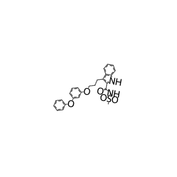 CS(=O)(=O)NC(=O)c1[nH]c2ccccc2c1CCCOc1cccc(Oc2ccccc2)c1